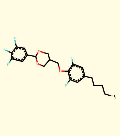 CCCCCc1cc(F)c(OCC2COC(c3cc(F)c(F)c(F)c3)OC2)c(F)c1